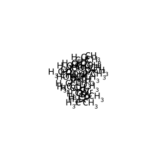 CC(C)(C)c1cc(-c2cc(C(C)(C)C)cc(C(C)(C)C)c2O)c(O)c(C(C)(C)C)c1.CC(C)(C)c1cc(-c2cc(C(C)(C)C)cc(C(C)(C)C)c2O)c(O)c(C(C)(C)C)c1.CCC(C)(C)C1=CC(C)[C]2=C1[Si](C)(C)C1=[C]([Zr]2)C(C)C=C1C(C)(C)CC